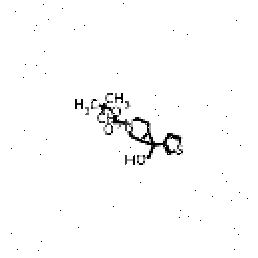 CC(C)(C)OC(=O)N1CCC2C(C1)C2(CO)c1ccsc1